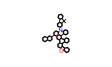 CC1(C)c2ccccc2-c2ccc(N(c3ccc(-c4ccc5ccccc5c4)cc3)c3ccccc3-c3cccc4c5ccc6oc7ccccc7c6c5c5ccccc5c34)cc21